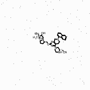 CC(C)(C)[Si](C)(C)C(O)CN1CCC[C@@H]1COc1nc2c(c(N3CCN[C@@H](CC#N)C3)n1)CCN(c1cccc3ccccc13)C2